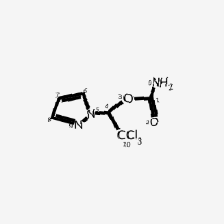 NC(=O)OC(n1cccn1)C(Cl)(Cl)Cl